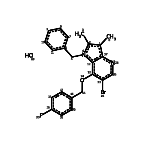 Cc1c(C)n(Cc2ccccc2)c2c(OCc3ccc(F)cc3)c(Br)cnc12.Cl